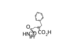 CC(C)NS(=O)(=O)C[C@@H](Cc1ccccc1)C(=O)O